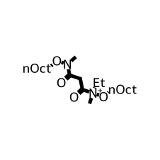 CCCCCCCCON(C)C(=O)CC(=O)[N+](C)(CC)OCCCCCCCC